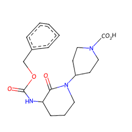 O=C(NC1CCCN(C2CCN(C(=O)O)CC2)C1=O)OCc1ccccc1